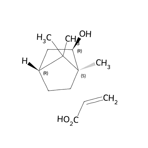 C=CC(=O)O.CC1(C)[C@@H]2CC[C@]1(C)[C@H](O)C2